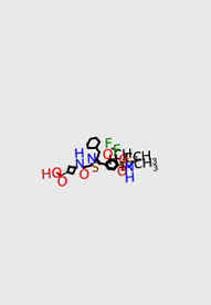 Cc1c(S(=O)(=O)NC(C)(C)C)ccc(-c2sc(C(=O)N[C@H]3C[C@H](C(=O)O)C3)nc2CC2CCCCC2)c1OC(F)F